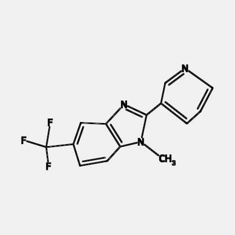 Cn1c(-c2cccnc2)nc2cc(C(F)(F)F)ccc21